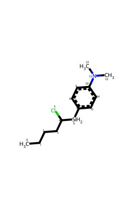 CCCCC(Cl)[SiH2]c1ccc(N(C)C)cc1